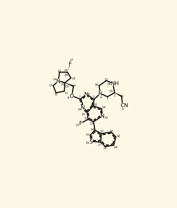 N#CC[C@H]1CN(c2nc(OC[C@@]34CCCN3C[C@H](F)C4)nc3c(F)c(-c4csc5ccccc45)ncc23)CCN1